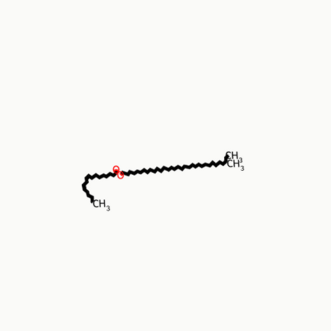 CCCCC/C=C\C/C=C\CCCCCCCC(=O)OCCCCCCCCCCCCCCCCCCCCCCCCCCCCCCC(C)CC